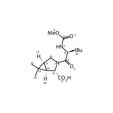 COC(=O)N[C@H](C(=O)N1C[C@H]2[C@@H]([C@H]1C(=O)O)C2(C)C)C(C)(C)C